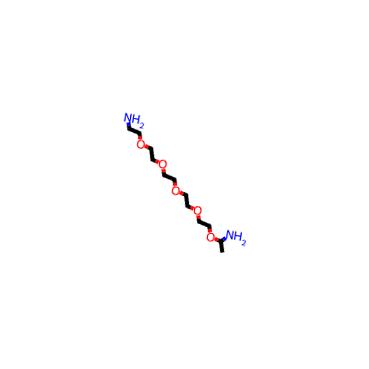 CC(N)OCCOCCOCCOCCOCCN